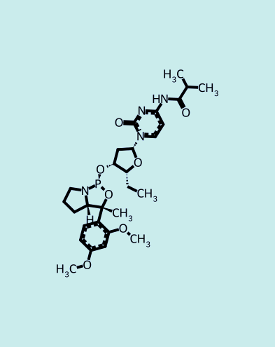 CC[C@H]1O[C@@H](n2ccc(NC(=O)C(C)C)nc2=O)C[C@H]1O[P@@]1O[C@](C)(c2ccc(OC)cc2OC)[C@@H]2CCCN21